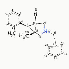 Cc1ccccc1[C@H]1[C@@H]2CN(Cc3ccccc3)C[C@@]21C